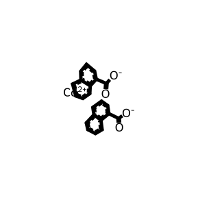 O=C([O-])c1cccc2ccccc12.O=C([O-])c1cccc2ccccc12.[Cd+2]